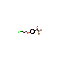 O=C(c1ccc(OCCCCl)cc1)C(Br)Br